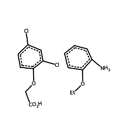 CCOc1ccccc1N.O=C(O)COc1ccc(Cl)cc1Cl